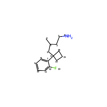 CC(CCN)CC1(c2ccccc2F)CCC1